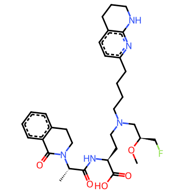 CO[C@H](CF)CN(CCCCc1ccc2c(n1)NCCC2)CC[C@H](NC(=O)[C@H](C)N1CCc2ccccc2C1=O)C(=O)O